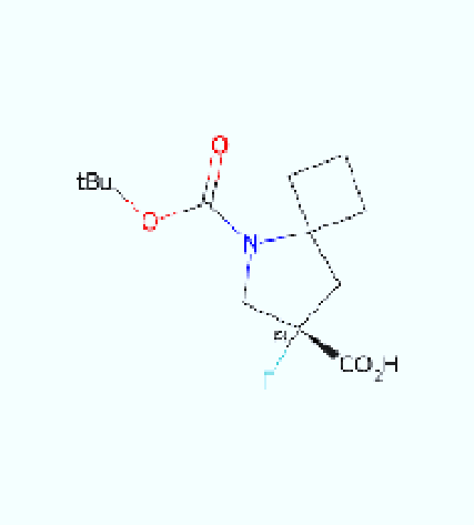 CC(C)(C)OC(=O)N1C[C@](F)(C(=O)O)CC12CCC2